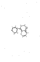 C1=CCC2=C(c3ccccc3)CCOC2=C1